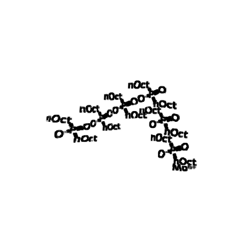 CCCCCCCCP(=O)([O-])CCCCCCCC.CCCCCCCCP(=O)([O-])CCCCCCCC.CCCCCCCCP(=O)([O-])CCCCCCCC.CCCCCCCCP(=O)([O-])CCCCCCCC.CCCCCCCCP(=O)([O-])CCCCCCCC.CCCCCCCCP(=O)([O-])CCCCCCCC.[Mo+6]